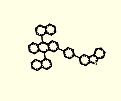 c1ccc2c(-c3c4ccccc4c(-c4cccc5ccccc45)c4cc(-c5ccc(-c6ccc7oc8ccccc8c7c6)cc5)ccc34)cccc2c1